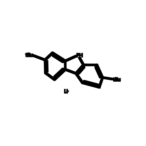 CC(C)(C)c1ccc2c(c1)[pH]c1cc(C(C)(C)C)ccc12.[Li]